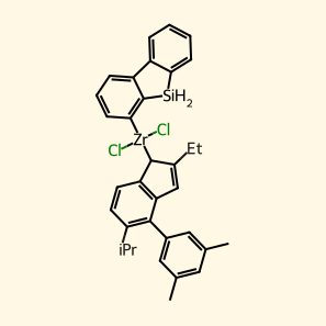 CCC1=Cc2c(ccc(C(C)C)c2-c2cc(C)cc(C)c2)[CH]1[Zr]([Cl])([Cl])[c]1cccc2c1[SiH2]c1ccccc1-2